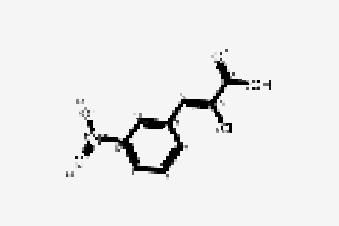 O=C(O)C(Cl)=Cc1cccc([N+](=O)[O-])c1